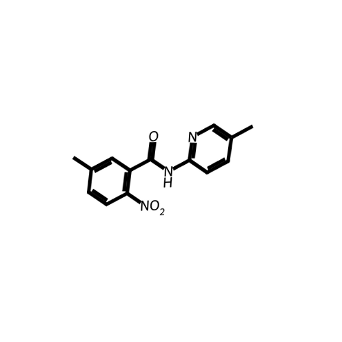 Cc1ccc(NC(=O)c2cc(C)ccc2[N+](=O)[O-])nc1